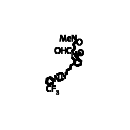 CNC(=O)CCC(C=O)N1Cc2c(CCCCN3CCN(c4cccc(C(F)(F)F)c4)CC3)cccc2C1=O